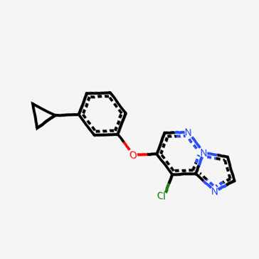 Clc1c(Oc2cccc(C3CC3)c2)cnn2ccnc12